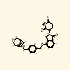 O=C1CCC(N2Cc3c(OCc4ccc(CN5CC6COCC5C6)cc4)cccc3C2=O)C(=O)N1